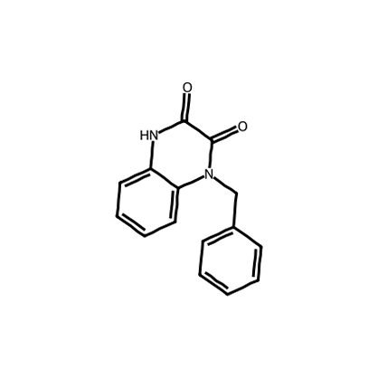 O=c1[nH]c2ccccc2n(Cc2ccccc2)c1=O